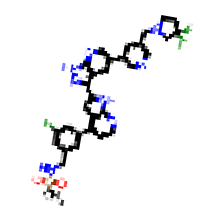 CS(=O)(=O)NCc1cc(F)cc(-c2ccnc3[nH]c(-c4n[nH]c5ncc(-c6cncc(CN7CCC(F)(F)C7)c6)cc45)cc23)c1